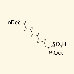 CCCCCCCCCCCCCCCCCCC(CCCCCCCC)S(=O)(=O)O